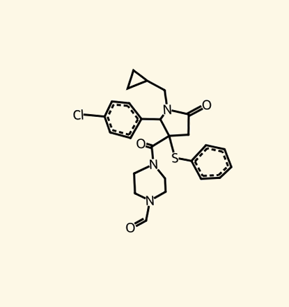 O=CN1CCN(C(=O)C2(Sc3ccccc3)CC(=O)N(CC3CC3)C2c2ccc(Cl)cc2)CC1